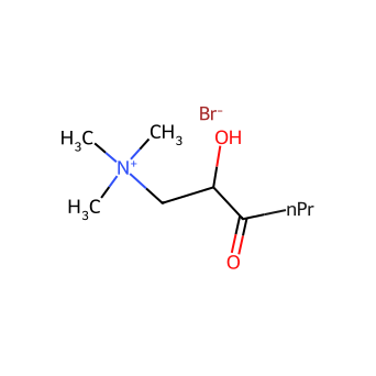 CCCC(=O)C(O)C[N+](C)(C)C.[Br-]